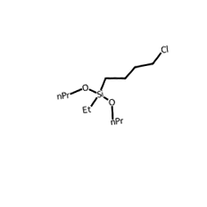 CCCO[Si](CC)(CCCCCl)OCCC